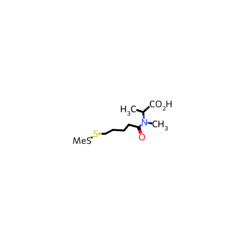 CSSCCCCC(=O)N(C)C(C)C(=O)O